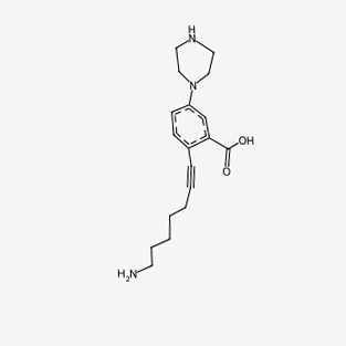 NCCCCCC#Cc1ccc(N2CCNCC2)cc1C(=O)O